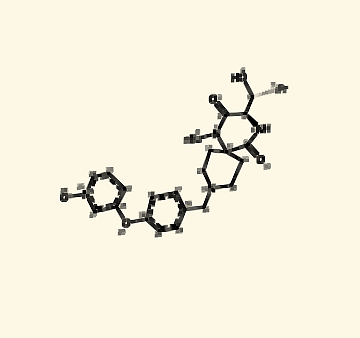 CCCCN1C(=O)[C@@H]([C@H](O)C(C)C)NC(=O)C12CCN(Cc1ccc(Oc3ccc[n+]([O-])c3)cc1)CC2